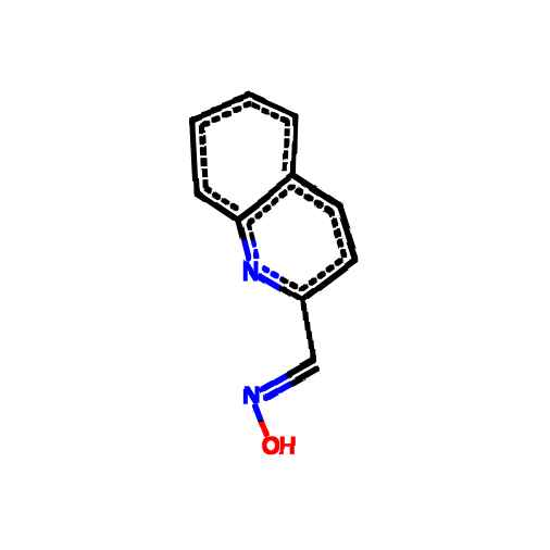 ON=Cc1ccc2ccccc2n1